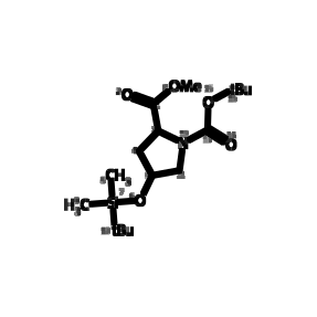 COC(=O)C1CC(O[Si](C)(C)C(C)(C)C)CN1C(=O)OC(C)(C)C